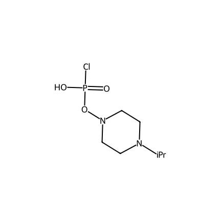 CC(C)N1CCN(OP(=O)(O)Cl)CC1